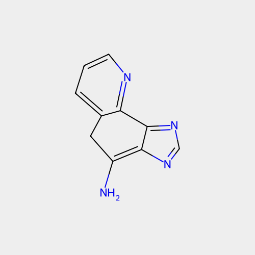 NC1=C2N=CN=C2c2ncccc2C1